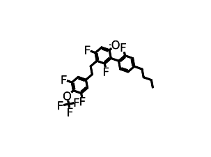 CCCCc1ccc(-c2c([O])cc(F)c(CCc3cc(F)c(OC(F)(F)F)c(F)c3)c2F)c(F)c1